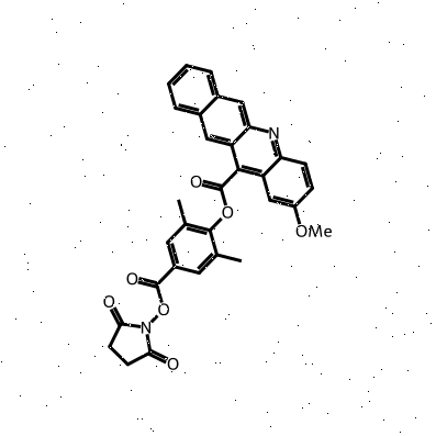 COc1ccc2nc3cc4ccccc4cc3c(C(=O)Oc3c(C)cc(C(=O)ON4C(=O)CCC4=O)cc3C)c2c1